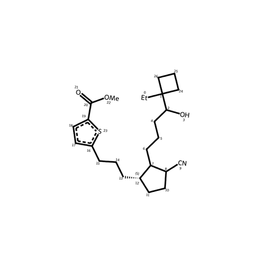 CCC1(C(O)CCCC2C(C#N)CC[C@@H]2CCCc2ccc(C(=O)OC)s2)CCC1